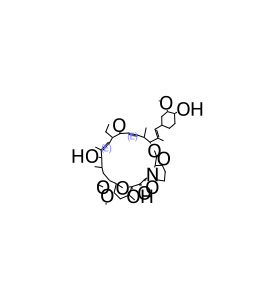 CCC1/C=C(\C)C(O)C(C)CC(OC)C2OC(O)(C(=O)C(=O)N3CCCCC3C(=O)OC(C(C)=CC3CCC(O)C(OC)C3)C(C)/C=C/C1=O)C(C)CC2OC